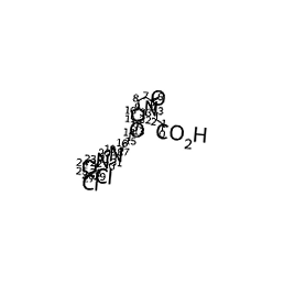 O=C(O)CCCN1C(=O)CCc2ccc(OCCCCN3CCN(c4cccc(Cl)c4Cl)CC3)cc21